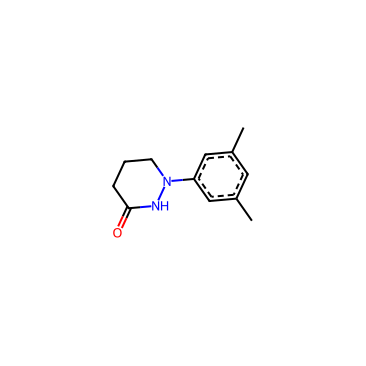 Cc1cc(C)cc(N2CCCC(=O)N2)c1